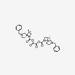 C[C@H]1CN(C(=O)OC(=O)C(=O)OC(=O)N2C[C@H](C)[C@@]23CCN(Cc2ccccc2)C3)[C@]12CCN(Cc1ccccc1)C2